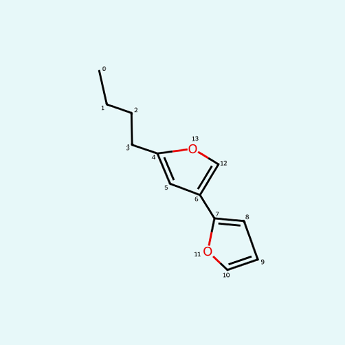 CCC[CH]c1cc(-c2ccco2)co1